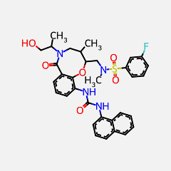 CC1CN(C(C)CO)C(=O)c2cccc(NC(=O)Nc3cccc4ccccc34)c2OC1CN(C)S(=O)(=O)c1cccc(F)c1